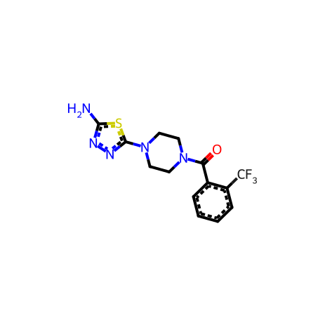 Nc1nnc(N2CCN(C(=O)c3ccccc3C(F)(F)F)CC2)s1